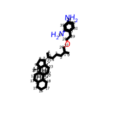 CC(CCCC(C)[C@H]1CC[C@H]2[C@@H]3CCC4CCCC[C@]4(C)[C@H]3CC[C@]12C)COCCc1ccc(N)cc1N